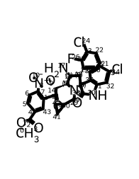 COC(=O)c1ccc([N+](=O)[O-])c(C(=O)C[C@H]2[C@@H](N)[C@H](c3cccc(Cl)c3F)[C@]3(C(=O)Nc4cc(Cl)ccc43)N2CC2CC2)c1